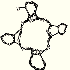 [Zn][c]1cccc2c3nc4nc(nc5[nH]c(nc6nc(nc([nH]3)c12)-c1ccccc1-6)c1ccccc51)-c1ccccc1-4